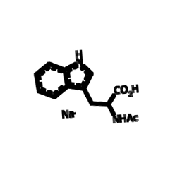 CC(=O)NC(Cc1c[nH]c2ccccc12)C(=O)O.[Na]